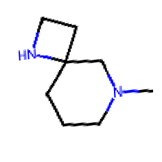 CN1CCCC2(CCN2)C1